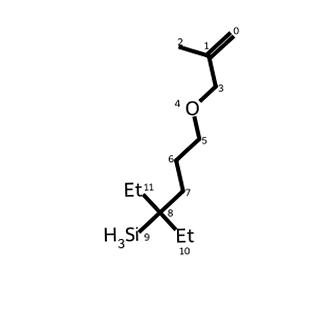 C=C(C)COCCCC([SiH3])(CC)CC